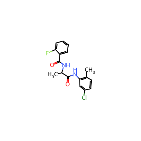 Cc1ccc(Cl)cc1NC(=O)C(C)NC(=O)c1ccccc1F